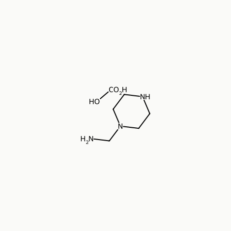 NCN1CCNCC1.O=C(O)O